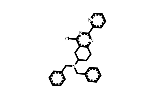 Clc1nc(-c2ccccn2)nc2c1CC(N(Cc1ccccc1)Cc1ccccc1)CC2